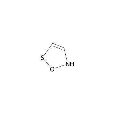 C1=CSON1